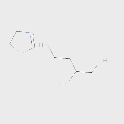 [CH2]CC(C)CCC.[C]1=NCCS1